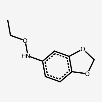 CCONc1ccc2c(c1)OCO2